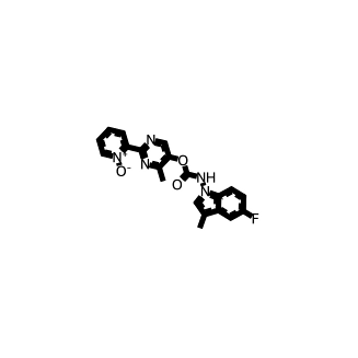 Cc1nc(-c2cccc[n+]2[O-])ncc1OC(=O)Nn1cc(C)c2cc(F)ccc21